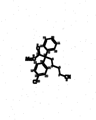 COC(=O)C(CCCCC#N)(c1ccccc1)c1ccc(Cl)cc1